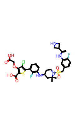 C=C(Nc1cc(CS(=O)(=O)N2CCC(Nc3cccc(-c4sc(C(=O)O)c(OCC(=O)O)c4Cl)c3F)CC2(C)C)ccc1F)C1CNC1